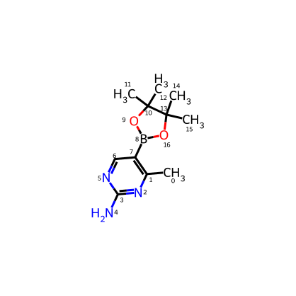 Cc1nc(N)ncc1B1OC(C)(C)C(C)(C)O1